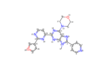 Cn1c(-c2ccncc2)nc2c(N3CCOCC3)nc(-c3ccnc(-c4ccoc4)n3)nc21